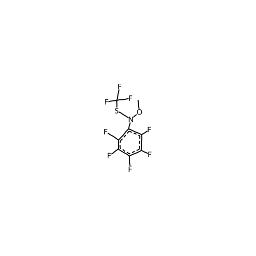 CON(SC(F)(F)F)c1c(F)c(F)c(F)c(F)c1F